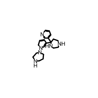 C1=CC(C2(c3cccnc3)CCNCCN2)=CN(N2CCCNCC2)C1